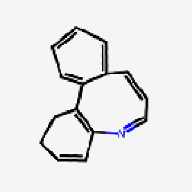 C1=Cc2ccccc2C2=C(C=CCC2)N=C1